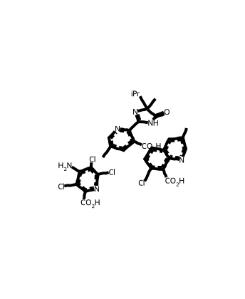 Cc1cnc(C2=NC(C)(C(C)C)C(=O)N2)c(C(=O)O)c1.Cc1cnc2c(C(=O)O)c(Cl)ccc2c1.Nc1c(Cl)c(Cl)nc(C(=O)O)c1Cl